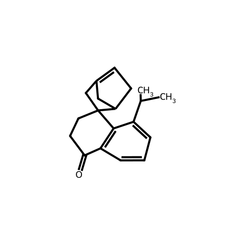 CC(C)c1cccc2c1C1(CCC2=O)CC2=CCC1C2